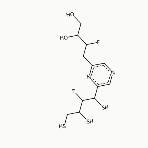 OCC(O)C(F)Cc1cncc(C(S)C(F)C(S)CS)n1